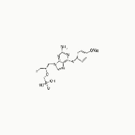 COc1ccc(Sc2nc(N)nc3c2ncn3C[C@H](CF)OCP(=O)(O)O)cc1